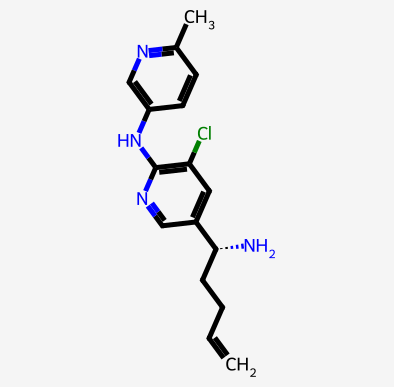 C=CCC[C@@H](N)c1cnc(Nc2ccc(C)nc2)c(Cl)c1